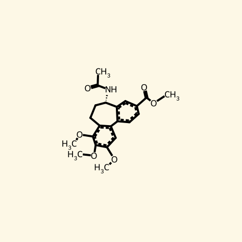 COC(=O)c1ccc2c(c1)[C@@H](NC(C)=O)CCc1c-2cc(OC)c(OC)c1OC